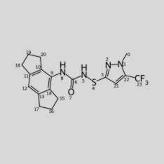 Cn1nc(SNC(=O)Nc2c3c(cc4c2CCC4)CCC3)cc1C(F)(F)F